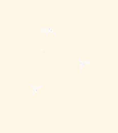 CN1CCC(C(=O)c2cc([N+](=O)[O-])ccc2N)CC1